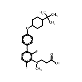 CN(CCC(=O)O)c1c(F)ccc(-c2ccc(OC3CCC(C(C)(C)C)CC3)cc2)c1F